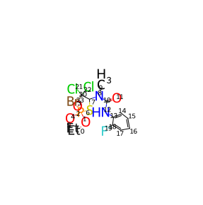 CCOP(=O)(OCC)SC(N(C)C(=O)Nc1ccccc1F)C(Cl)(Cl)Br